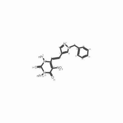 CCCn1c(C=Cc2cnn(Cc3ccccc3)c2)c([N+](=O)[O-])c(=O)n(CCC)c1=O